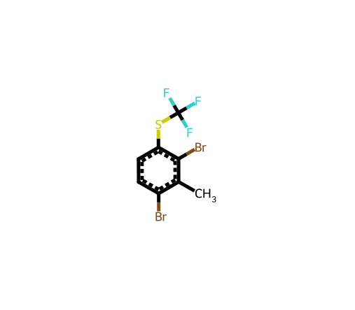 Cc1c(Br)ccc(SC(F)(F)F)c1Br